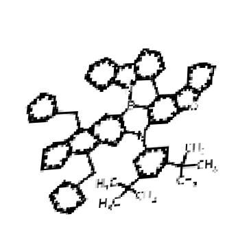 CC(C)(C)c1cc(N2c3cc4c(Cc5ccccc5)c5ccccc5c(Cc5ccccc5)c4cc3B3c4c2cc2oc5ccccc5c2c4-c2cccc4c5ccccc5n3c24)cc(C(C)(C)C)c1